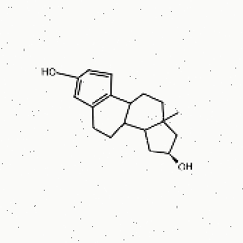 CC12CCC3c4ccc(O)cc4CCC3C1C[C@H](O)C2